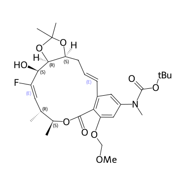 COCOc1cc(N(C)C(=O)OC(C)(C)C)cc2c1C(=O)O[C@@H](C)[C@H](C)/C=C(/F)[C@@H](O)[C@H]1OC(C)(C)O[C@H]1C/C=C/2